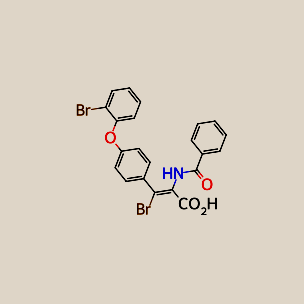 O=C(O)/C(NC(=O)c1ccccc1)=C(\Br)c1ccc(Oc2ccccc2Br)cc1